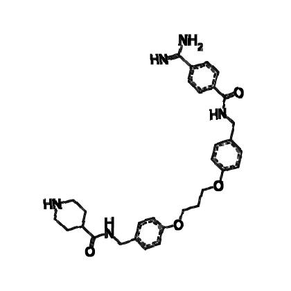 N=C(N)c1ccc(C(=O)NCc2ccc(OCCCOc3ccc(CNC(=O)C4CCNCC4)cc3)cc2)cc1